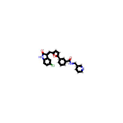 O=C1Nc2ccc(Cl)cc2/C1=C\c1ccc(-c2cccc(C(=O)NCc3cccnc3)c2)o1